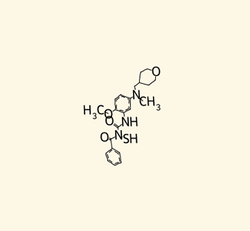 COc1ccc(N(C)CC2CCOCC2)cc1NC(=O)N(S)C(=O)c1ccccc1